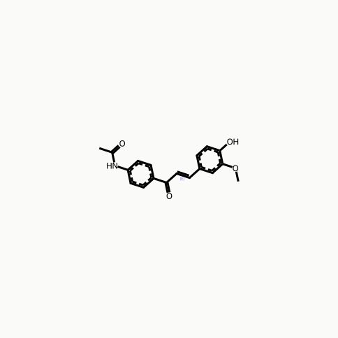 COc1cc(/C=C/C(=O)c2ccc(NC(C)=O)cc2)ccc1O